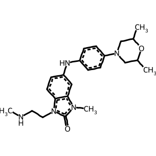 CNCCn1c(=O)n(C)c2cc(Nc3ccc(N4CC(C)OC(C)C4)cc3)ccc21